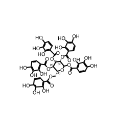 O=C(OC[C@H]1OC(OC(=O)c2ccc(O)c(O)c2O)[C@@H](OC(=O)c2ccc(O)c(O)c2O)[C@@H](OC(=O)c2ccc(O)c(O)c2O)[C@@H]1OC(=O)c1ccc(O)c(O)c1O)c1ccc(O)c(O)c1O